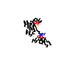 CC=C(C)C(O)(CCCCNC(=O)OC(C)(C)C)C(C)=CC